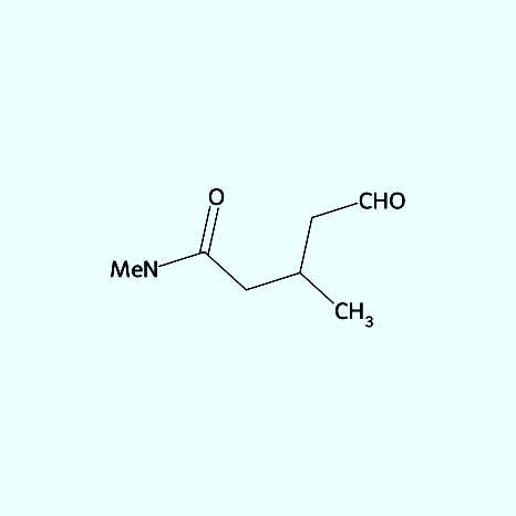 CNC(=O)CC(C)CC=O